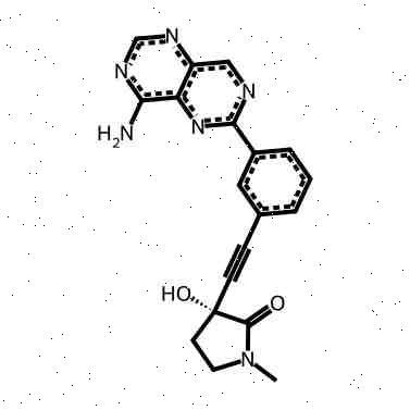 CN1CC[C@@](O)(C#Cc2cccc(-c3ncc4ncnc(N)c4n3)c2)C1=O